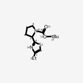 CCc1csc(C2CCCN2C(=O)OC(C)(C)C)n1